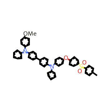 COc1ccc(N(c2ccccc2)c2ccc(-c3ccc(N(c4ccccc4)c4ccc(Oc5ccc(S(=O)(=O)c6ccc(C)cc6)cc5)cc4)cc3)cc2)cc1